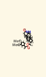 COc1ccc(C(C)C(=O)OC(C)[C@H]2CC[C@H]3[C@@H]4CC[C@H]5NC(=O)CC[C@]5(C)[C@H]4CC[C@]23C)cc1OC